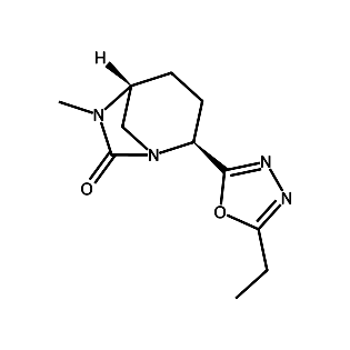 CCc1nnc([C@@H]2CC[C@@H]3CN2C(=O)N3C)o1